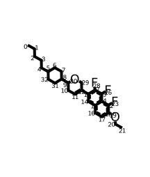 CCCCCC1CCC(C2CC=C(c3cc4ccc(OCC)c(F)c4c(F)c3F)CO2)CC1